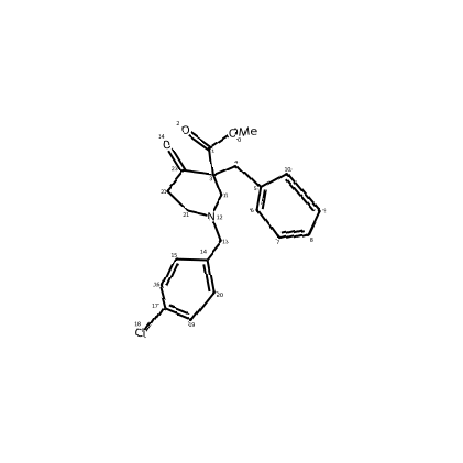 COC(=O)C1(Cc2ccccc2)CN(Cc2ccc(Cl)cc2)CCC1=O